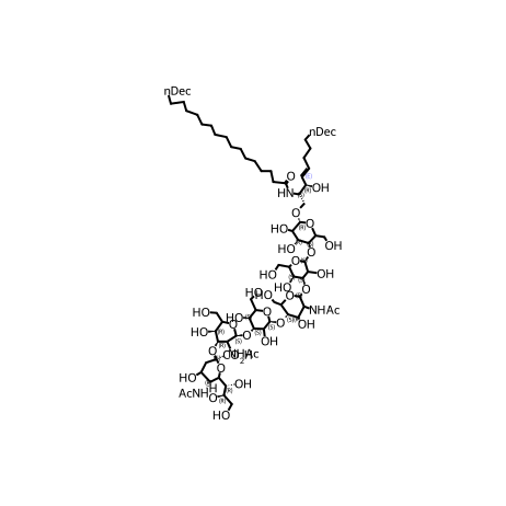 CCCCCCCCCCCCC/C=C/[C@@H](O)[C@H](CO[C@@H]1OC(CO)[C@@H](O[C@@H]2OC(CO)[C@H](O)[C@H](O[C@@H]3OC(CO)[C@@H](O[C@@H]4OC(CO)[C@H](O)[C@H](O[C@@H]5OC(CO)[C@H](O)[C@H](O[C@]6(C(=O)O)CC(O)[C@@H](NC(C)=O)C([C@H](O)[C@H](O)CO)O6)C5NC(C)=O)C4O)[C@H](O)C3NC(C)=O)C2O)[C@H](O)C1O)NC(=O)CCCCCCCCCCCCCCCCCCCCCCCCC